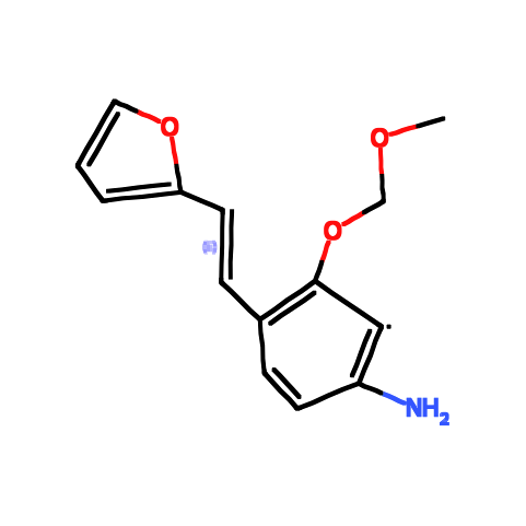 COCOc1[c]c(N)ccc1/C=C/c1ccco1